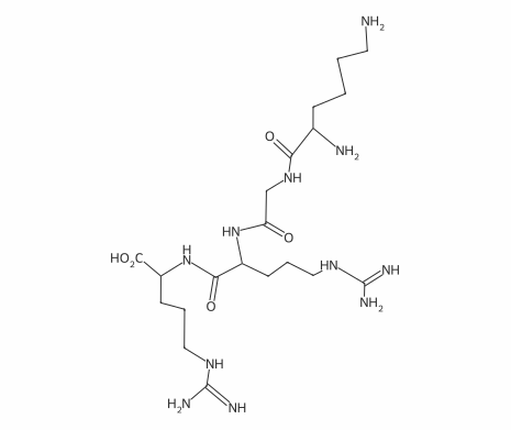 N=C(N)NCCCC(NC(=O)C(CCCNC(=N)N)NC(=O)CNC(=O)C(N)CCCCN)C(=O)O